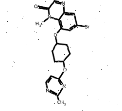 Cc1nccc(OC2CCC(Oc3cc(Br)cc4ncc(=O)n(C)c34)CC2)n1